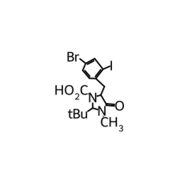 CN1C(=O)C(Cc2ccc(Br)cc2I)N(C(=O)O)C1C(C)(C)C